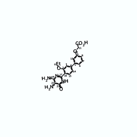 CCOc1cc(-c2cccc(OCC(=O)O)c2)ccc1-c1nc(N)c(N)c(=O)[nH]1